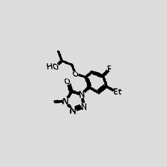 CCc1cc(-n2nnn(C)c2=O)c(OCC(C)O)cc1F